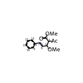 COC(=O)C(C(C)=O)C(/C=C/c1ccccc1)OC